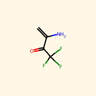 C=C(N)C(=O)C(F)(F)F